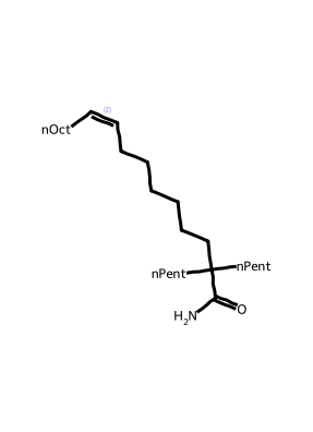 CCCCCCCC/C=C\CCCCCCC(CCCCC)(CCCCC)C(N)=O